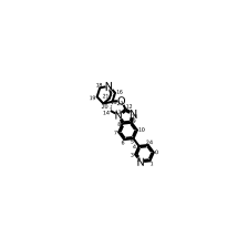 c1cncc(-c2ccc3c(c2)nc2n3C[C@]3(CN4CCC3CC4)O2)c1